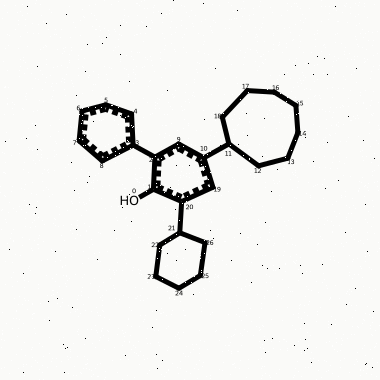 Oc1c(-c2ccccc2)cc(C2CCCCCCC2)cc1C1CCCCC1